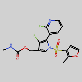 CNC(=O)OCc1cn(S(=O)(=O)c2ccoc2C)c(-c2cccnc2F)c1F